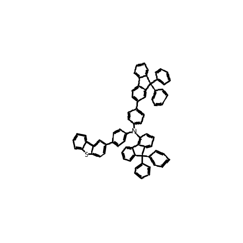 c1ccc(C2(c3ccccc3)c3ccccc3-c3ccc(-c4ccc(N(c5ccc(-c6ccc7sc8ccccc8c7c6)cc5)c5cccc6c5-c5ccccc5C6(c5ccccc5)c5ccccc5)cc4)cc32)cc1